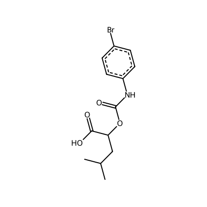 CC(C)CC(OC(=O)Nc1ccc(Br)cc1)C(=O)O